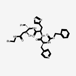 CCC(C)CNC(=O)C[C@H](O)[C@H](CC(C)C)NC(=O)C(Cc1cscn1)NC(=O)[C@H](Cc1ccncc1)NC(=O)OCc1ccccc1